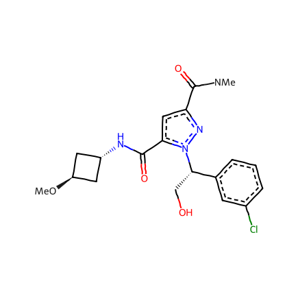 CNC(=O)c1cc(C(=O)N[C@H]2C[C@H](OC)C2)n([C@@H](CO)c2cccc(Cl)c2)n1